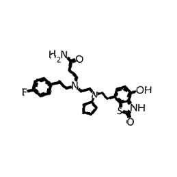 NC(=O)CCN(CCc1ccc(F)cc1)CCN(CCc1ccc(O)c2[nH]c(=O)sc12)C1CCCC1